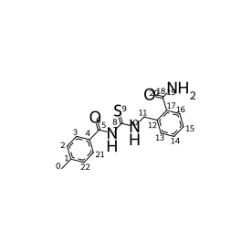 Cc1ccc(C(=O)NC(=S)NCc2ccccc2C(N)=O)cc1